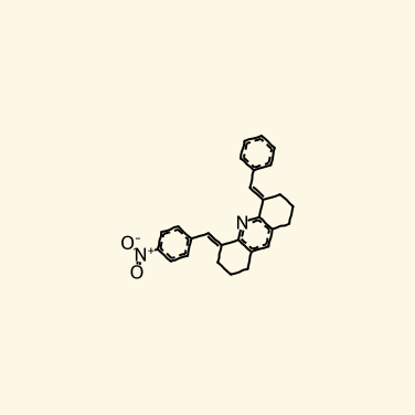 O=[N+]([O-])c1ccc(C=C2CCCc3cc4c(nc32)C(=Cc2ccccc2)CCC4)cc1